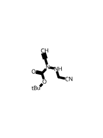 C#CN(NCC#N)C(=O)OC(C)(C)C